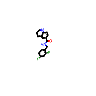 O=C(NCc1ccc(F)cc1F)c1ccc2ncccc2c1